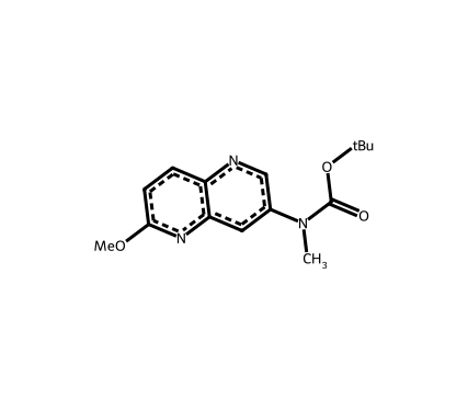 COc1ccc2ncc(N(C)C(=O)OC(C)(C)C)cc2n1